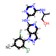 CC(CO)Nc1cc(Nc2cc3c(cn2)cnn3-c2c(F)cc(C#N)cc2Cl)ncn1